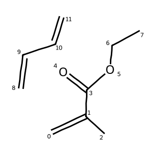 C=C(C)C(=O)OCC.C=CC=C